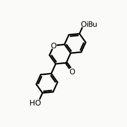 CC(C)COc1ccc2c(=O)c(-c3ccc(O)cc3)coc2c1